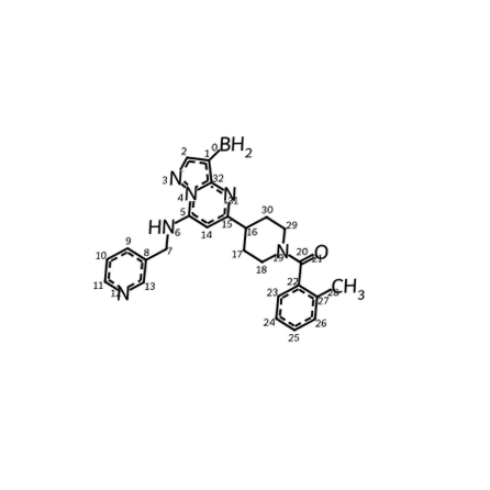 Bc1cnn2c(NCc3cccnc3)cc(C3CCN(C(=O)c4ccccc4C)CC3)nc12